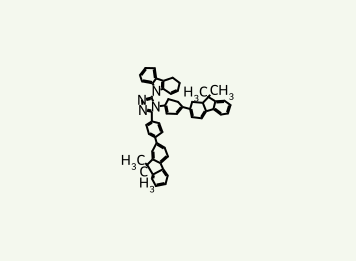 CC1(C)c2ccccc2-c2ccc(-c3ccc(-c4nnc(-n5c6c(c7ccccc75)CCC=C6)n4C4=CC=C(C5=CC=C6c7ccccc7C(C)(C)C6C5)CC4)cc3)cc21